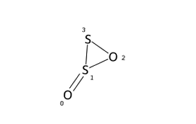 O=S1OS1